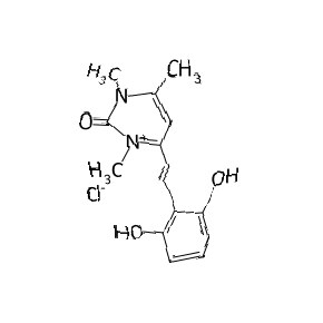 Cc1cc(C=Cc2c(O)cccc2O)[n+](C)c(=O)n1C.[Cl-]